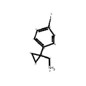 NCC1(c2ccc(I)cc2)CC1